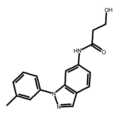 Cc1cccc(-n2ncc3ccc(NC(=O)CCO)cc32)c1